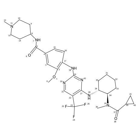 COc1cc(C(=O)NC2CCN(C)CC2)ccc1Nc1ncc(C(F)(F)F)c(N[C@@H]2CCCC[C@H]2N(C)C(=O)C2CC2)n1